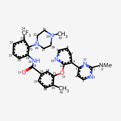 CNc1nccc(-c2cccnc2Oc2cc(C(=O)Nc3cccc(C(F)(F)F)c3N3CCN(C)CC3)ccc2C)n1